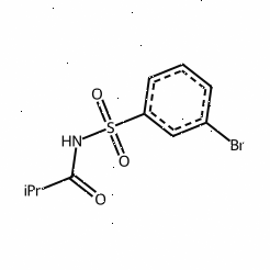 CC(C)C(=O)NS(=O)(=O)c1cccc(Br)c1